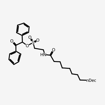 CCCCCCCCCCCCCCCCCC(=O)NCCS(=O)(=O)OC(C(=O)c1ccccc1)c1ccccc1